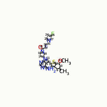 COc1cc(C)cc2cc(-c3cn(C4CCN(C(=O)/C=C/CN5CCC(F)C5)C4)c4ncnc(N)c34)sc12